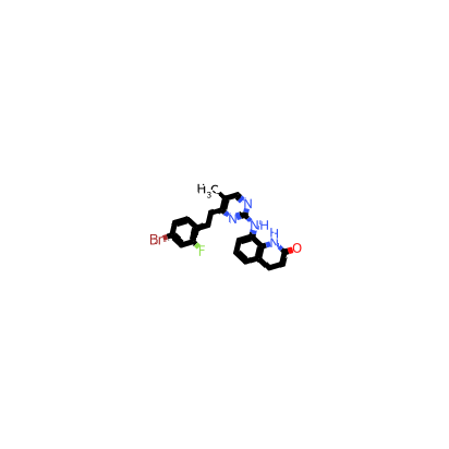 Cc1cnc(Nc2cccc3c2NC(=O)CC3)nc1CCc1ccc(Br)cc1F